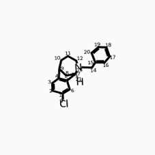 Clc1ccc2c(c1)[C@H]1CC2CCCN1Cc1ccccc1